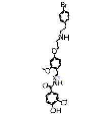 COc1cc(OCCNCCc2ccc(Br)cc2)ccc1/C=N/NC(=O)c1ccc(O)c(Cl)c1